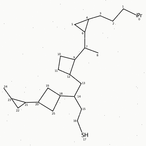 CC(C)CCCC1CC1C(C)C1CCC1CC(CCS)C1CC(C2CC2C)C1